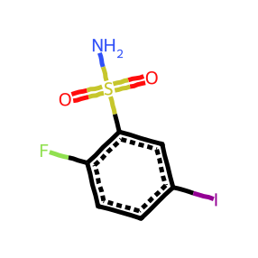 NS(=O)(=O)c1cc(I)ccc1F